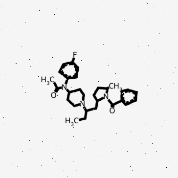 CCC(CC1CCC(C)N1C(=O)c1ccccc1)N1CCC(N(C(C)=O)c2ccc(F)cc2)CC1